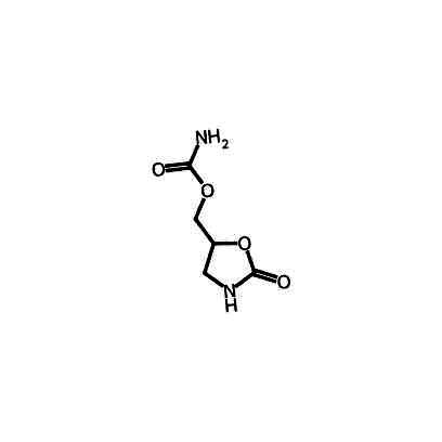 NC(=O)OCC1CNC(=O)O1